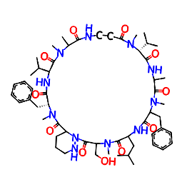 CC(C)CC1NC(=O)C(Cc2ccccc2)N(C)C(=O)C(C)NC(=O)[C@@H](C(C)C)N(C)C(=O)CCNC(=O)C(C)N(C)C(=O)C(C(C)C)NC(=O)[C@@H](Cc2ccccc2)N(C)C(=O)C2CCCNN2C(=O)C(CO)N(C)C1=O